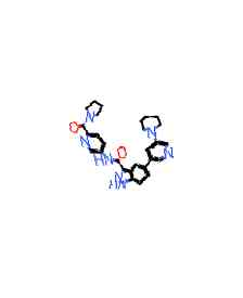 O=C(Nc1ccc(C(=O)N2CCCC2)nc1)c1n[nH]c2ccc(-c3cncc(N4CCCCC4)c3)cc12